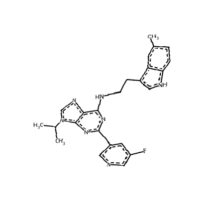 Cc1ccc2[nH]cc(CCNc3nc(-c4cncc(F)c4)nc4c3ncn4C(C)C)c2c1